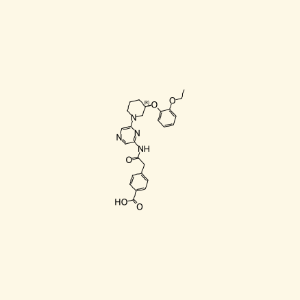 CCOc1ccccc1O[C@@H]1CCCN(c2cncc(NC(=O)Cc3ccc(C(=O)O)cc3)n2)C1